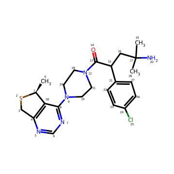 C[C@@H]1SCc2ncnc(N3CCN(C(=O)C(CC(C)(C)N)c4ccc(Cl)cc4)CC3)c21